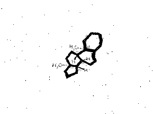 C[C@@]12CCC[C@H]1[C@@H]1CC=C3C=CCC[C@]3(C)[C@H]1CC2